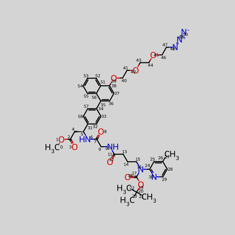 COC(=O)C[C@H](NC(=O)CNC(=O)CCCN(C(=O)OC(C)(C)C)c1cc(C)ccn1)c1ccc(-c2ccc(OCCOCCOCCN=[N+]=[N-])c3ccccc23)cc1